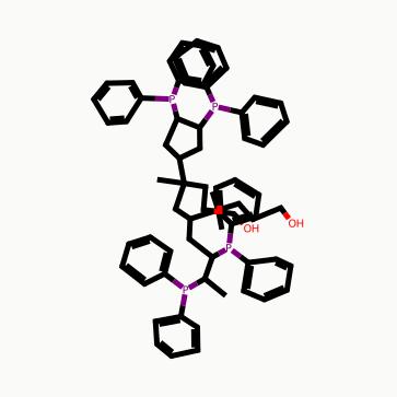 CC(C(CC(CC(C)(CCCO)C1CC(P(c2ccccc2)c2ccccc2)C(P(c2ccccc2)c2ccccc2)C1)C(C)(C)CCCO)P(c1ccccc1)c1ccccc1)P(c1ccccc1)c1ccccc1